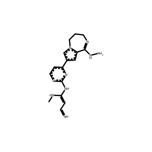 CN/C(=C\C=N)Nc1nccc(-c2cc3n(c2)CCCN=C3NN)n1